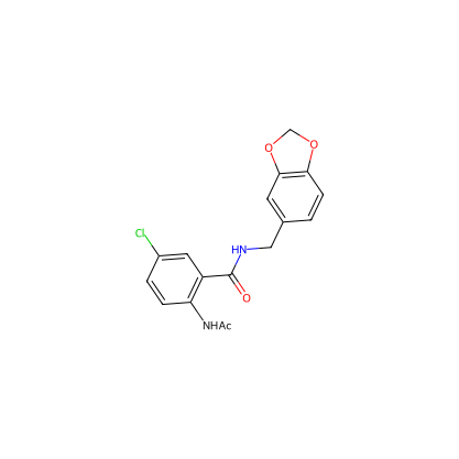 CC(=O)Nc1ccc(Cl)cc1C(=O)NCc1ccc2c(c1)OCO2